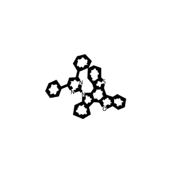 c1ccc(-c2cc(-c3ccccc3)nc(-n3c4ccccc4c4c5oc6ccccc6c5c5sc6ccccc6c5c43)n2)cc1